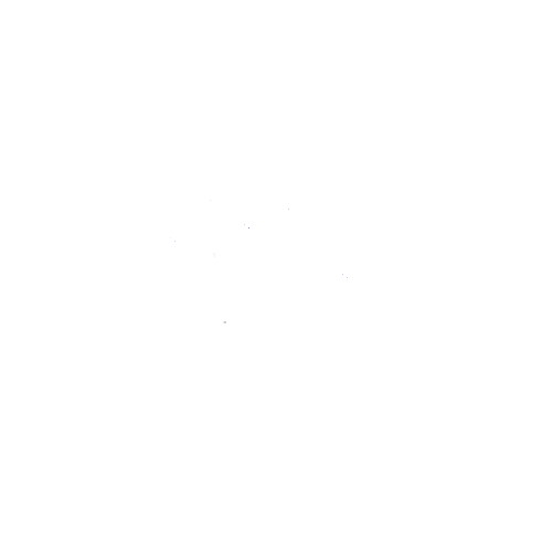 O=C(c1ccc2[nH]c(-c3ccc[nH]c3=O)c(-c3ccccc3)c2c1)N1CCCCC1